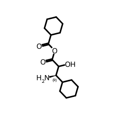 N[C@H](C1CCCCC1)C(O)C(=O)OC(=O)C1CCCCC1